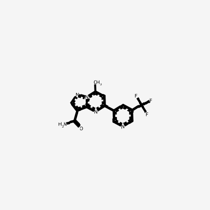 Cc1cc(-c2cncc(C(F)(F)F)c2)nc2c(C(N)=O)cnn12